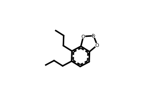 CCCc1ccc2c(c1CCC)O[B]O2